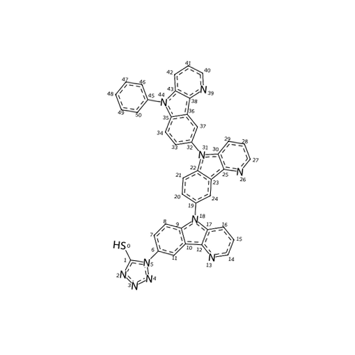 Sc1nnnn1-c1ccc2c(c1)c1ncccc1n2-c1ccc2c(c1)c1ncccc1n2-c1ccc2c(c1)c1ncccc1n2-c1ccccc1